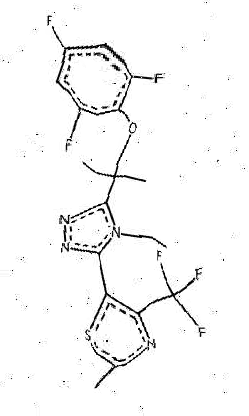 Cc1nc(C(F)(F)F)c(-c2nnc(C(C)(C)Oc3c(F)cc(F)cc3F)n2C)s1